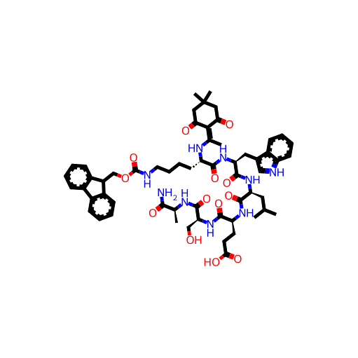 CC(N[C@@H](CCCCNC(=O)OCC1c2ccccc2-c2ccccc21)C(=O)N[C@@H](Cc1c[nH]c2ccccc12)C(=O)N[C@@H](CC(C)C)C(=O)N[C@@H](CCC(=O)O)C(=O)N[C@@H](CO)C(=O)N[C@@H](C)C(N)=O)=C1C(=O)CC(C)(C)CC1=O